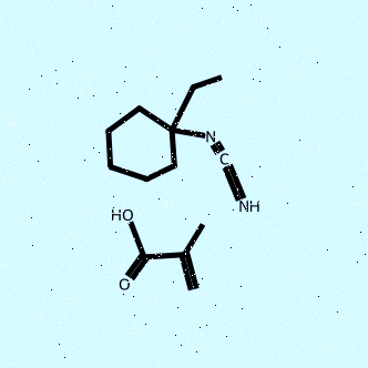 C=C(C)C(=O)O.CCC1(N=C=N)CCCCC1